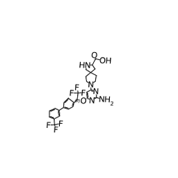 Nc1nc(O[C@H](c2ccc(-c3cccc(C(F)(F)F)c3)cc2)C(F)(F)F)cc(N2CCC3(CC2)CNC(C(=O)O)C3)n1